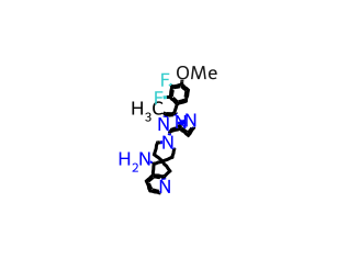 COc1ccc(-c2c(C)nc(N3CCC4(CC3)Cc3ncccc3[C@H]4N)c3ccnn23)c(F)c1F